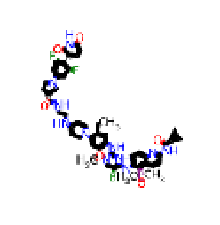 CCc1cc(Nc2ncc(Br)c(Nc3ccc4nc(NC(=O)C5CC5)ccc4c3P(C)(C)=O)n2)c(OC)cc1N1CCC(NCCNC(=O)[C@@H]2CCN(c3cc(F)c([C@H]4CCC(=O)NC4=O)c(F)c3)C2)CC1